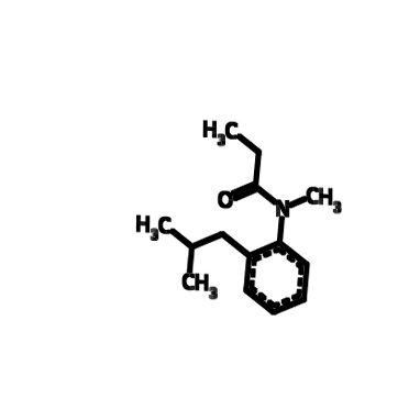 CCC(=O)N(C)c1ccccc1CC(C)C